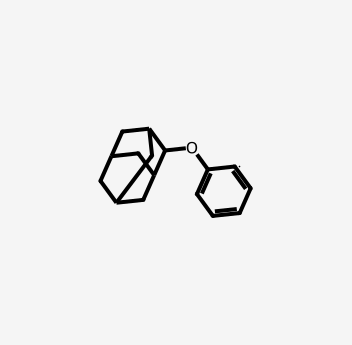 [c]1ccccc1OC1C2CC3CC(C2)CC1C3